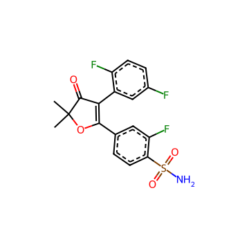 CC1(C)OC(c2ccc(S(N)(=O)=O)c(F)c2)=C(c2cc(F)ccc2F)C1=O